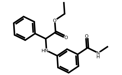 CCOC(=O)C(Nc1cccc(C(=O)NC)c1)c1ccccc1